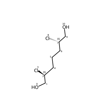 OC[C@@H](Cl)CCC[C@H](Cl)CO